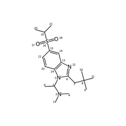 CC(N(C)C)n1c(CC(C)(C)C)nc2cc(S(=O)(=O)C(C)C)ccc21